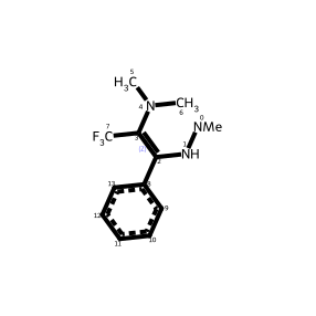 CNN/C(=C(\N(C)C)C(F)(F)F)c1ccccc1